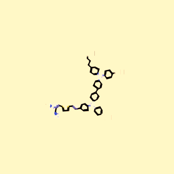 [C-]#[N+]/C(C#N)=C/c1ccc(/C=C/c2ccc(N(c3ccc(C)cc3)c3ccc(-c4ccc(N(c5ccc(C)cc5)c5ccc(CCCC)cc5)cc4)cc3)cc2)s1